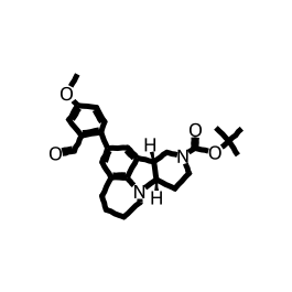 COc1ccc(-c2cc3c4c(c2)[C@@H]2CN(C(=O)OC(C)(C)C)CC[C@@H]2N4CCCC3)c(C=O)c1